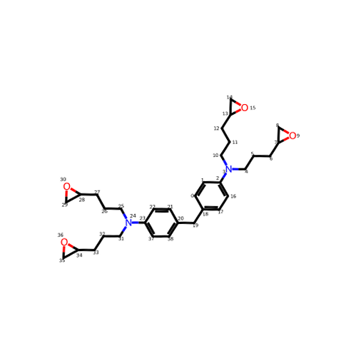 c1cc(N(CCCC2CO2)CCCC2CO2)ccc1Cc1ccc(N(CCCC2CO2)CCCC2CO2)cc1